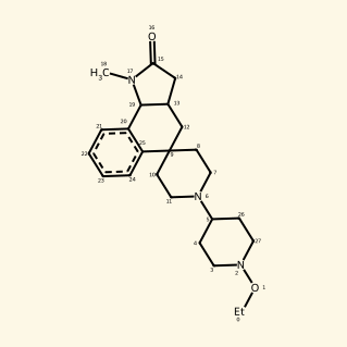 CCON1CCC(N2CCC3(CC2)CC2CC(=O)N(C)C2c2ccccc23)CC1